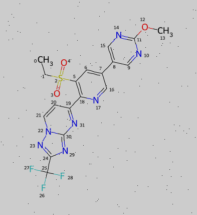 CCS(=O)(=O)c1cc(-c2cnc(OC)nc2)cnc1-c1ccn2nc(C(F)(F)F)nc2n1